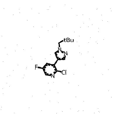 CC(C)(C)Cn1cc(-c2cc(F)cnc2Cl)cn1